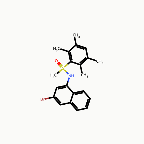 Cc1cc(C)c(C)c([SH](C)(=O)Nc2cc(Br)cc3ccccc23)c1C